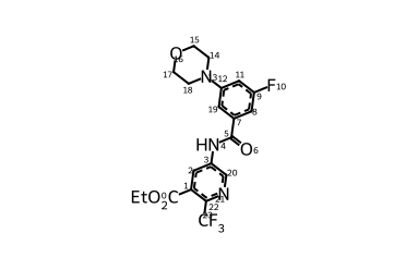 CCOC(=O)c1cc(NC(=O)c2cc(F)cc(N3CCOCC3)c2)cnc1C(F)(F)F